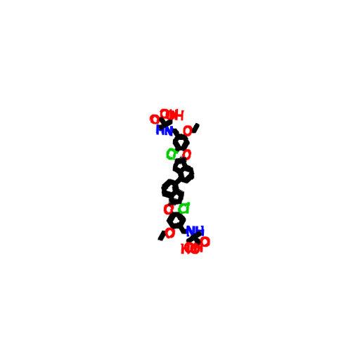 CCOc1cc(O[C@H]2CCc3c(-c4cccc5c4CC[C@@H]5Oc4cc(OCC)c(CNC(C)(CO)C(=O)O)cc4Cl)cccc32)c(Cl)cc1CNC(C)(CO)C(=O)O